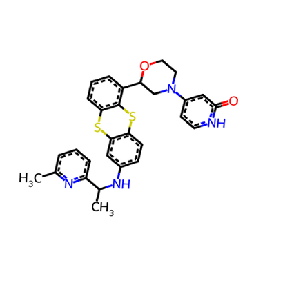 Cc1cccc(C(C)Nc2ccc3c(c2)Sc2cccc(C4CN(c5cc[nH]c(=O)c5)CCO4)c2S3)n1